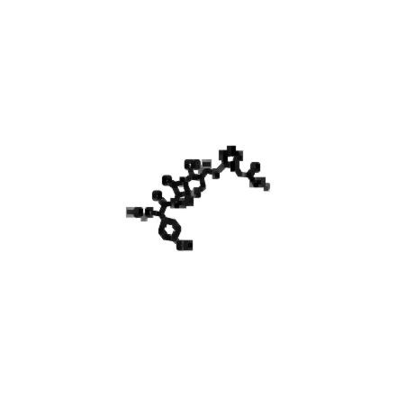 NC(=O)Cn1nnnc1SCC1=C(C(=O)O)N2C(=O)C(NC(=O)C(C(=O)O)c3ccc(O)cc3)[C@H]2SC1